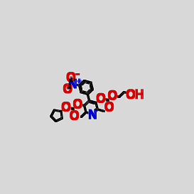 CC1=NC(C)C(OC(=O)OC2CCCC2)C(c2cccc([N+](=O)[O-])c2)=C1OC(=O)OCCO